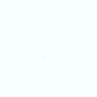 CC1(C)CCC(C(=O)O)C1(C)C